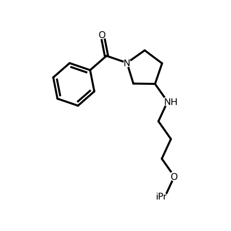 CC(C)OCCCNC1CCN(C(=O)c2ccccc2)C1